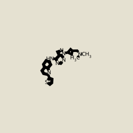 CN(C)CC1CC(n2ncc3c(Nc4ccc5ccc(-c6cccs6)nc5c4)ncnc32)C1